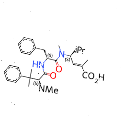 CN[C@H](C(=O)N[C@@H](Cc1ccccc1)C(=O)N(C)[C@H](C=C(C)C(=O)O)C(C)C)C(C)(C)c1ccccc1